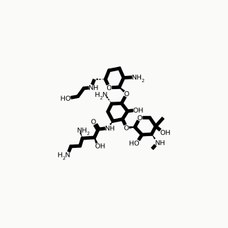 CN[C@@H]1C(O)[C@@H](OC2C(O)C(O[C@H]3O[C@H](CNCCO)CCC3N)[C@@H](N)C[C@H]2NC(=O)[C@@H](O)[C@@H](N)CCN)OCC1(C)O